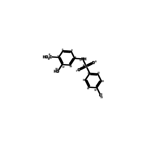 O=C(O)c1ccc(NS(=O)(=O)c2ccc(Cl)cc2)cc1O